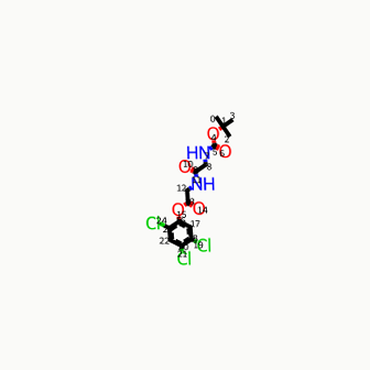 CC(C)(C)OC(=O)NCC(=O)NCC(=O)Oc1cc(Cl)c(Cl)cc1Cl